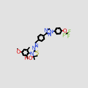 COc1cc(C)c(N2/C(=N/N=C/c3ccc(-c4ncn(-c5ccc(OC(F)(F)F)cc5)n4)cc3)SCC2(C)O)c(C)c1